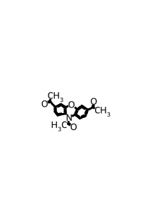 CC(=O)c1ccc2c(c1)Oc1cc(C(C)=O)ccc1N2C(C)=O